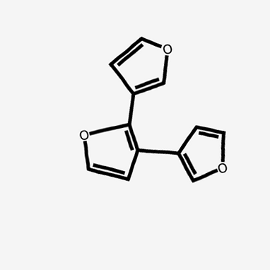 c1cc(-c2ccoc2-c2ccoc2)co1